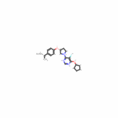 CC(=O)N[C@@H](C)c1ccc(O[C@@H]2CCN(c3ncnc(OC4CCCC4)c3F)C2)cc1